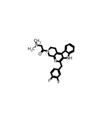 CN(C)CC(=O)N1CCc2c(nc(Cc3ccc(F)c(F)c3)c3[nH]c4ccccc4c23)C1